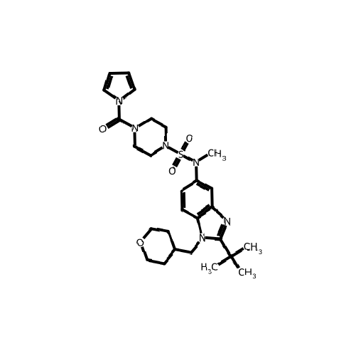 CN(c1ccc2c(c1)nc(C(C)(C)C)n2CC1CCOCC1)S(=O)(=O)N1CCN(C(=O)n2cccc2)CC1